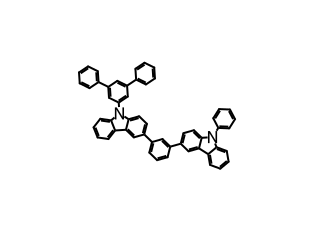 c1ccc(-c2cc(-c3ccccc3)cc(-n3c4ccccc4c4cc(-c5cccc(-c6ccc7c(c6)c6ccccc6n7-c6ccccc6)c5)ccc43)c2)cc1